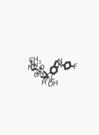 Cc1cc2c(cnn2-c2ccc(F)cc2)cc1[C@]12CN(S(=O)(=O)c3cnn(C)n3)C[C@H]1[C@H]2CO